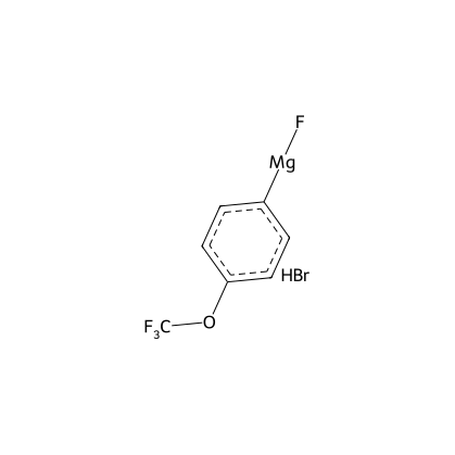 Br.[F][Mg][c]1ccc(OC(F)(F)F)cc1